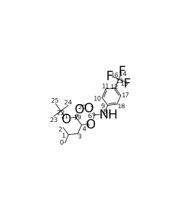 CC(C)CC(OC(=O)Nc1ccc(C(F)(F)F)cc1)C(=O)OC(C)(C)C